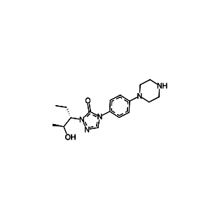 CC[C@@H]([C@H](C)O)n1ncn(-c2ccc(N3CCNCC3)cc2)c1=O